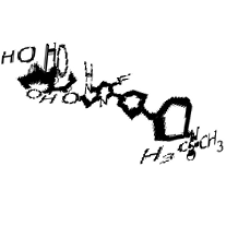 CS(C)(=O)=NC1CC=C(c2ccc(-c3nc4cc(O[C@@H]5CO[C@H]6[C@@H]5OC[C@H]6O)[nH]c4cc3F)cc2)CC1